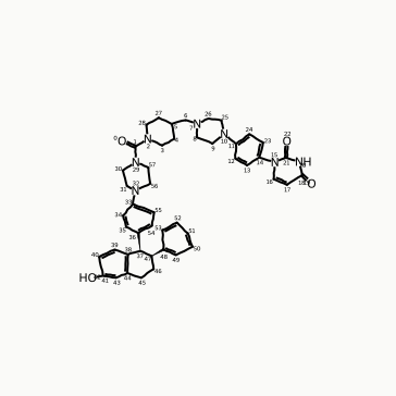 O=C(N1CCC(CN2CCN(c3ccc(-n4ccc(=O)[nH]c4=O)cc3)CC2)CC1)N1CCN(c2ccc([C@@H]3c4ccc(O)cc4CC[C@@H]3c3ccccc3)cc2)CC1